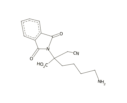 N#CCC(CCCCN)(C(=O)O)N1C(=O)c2ccccc2C1=O